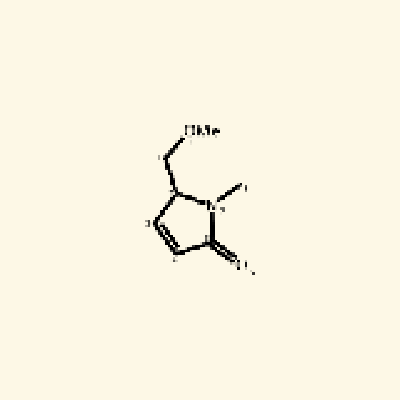 COCC1C=CC(=O)N1C